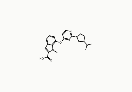 CN(C)C1CCN(c2nccc(Oc3cccc4cc(C(=O)O)n(C)c34)n2)C1